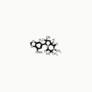 COc1cc(C2N3C(=O)C(C)(S)N(C)C(=O)C3(S)C[C@]2(C)C#N)cc2c1OCO2